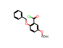 CCCCCCCCCCOc1ccc(OCc2ccccc2)c(C(=O)Cl)c1